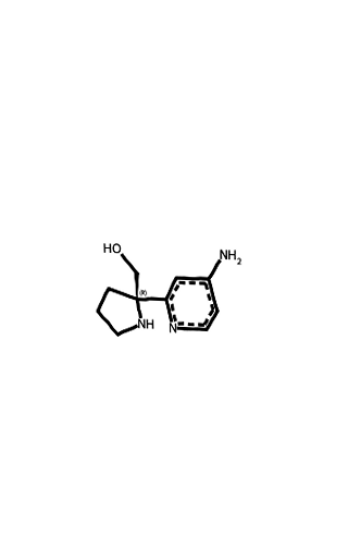 Nc1ccnc([C@@]2(CO)CCCN2)c1